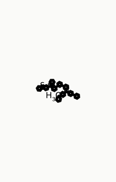 CC1(c2ccc(N(c3ccc(-c4ccccc4)cc3)c3cccc(-c4cccc(-c5cccc6c5c5ccccc5n6-c5ccc6c(c5)sc5ccccc56)c4)c3)cc2)C=CC=CC1